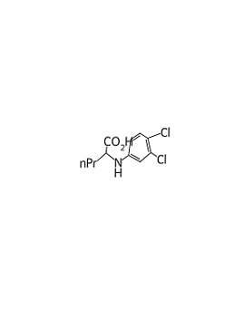 CCCC(Nc1ccc(Cl)c(Cl)c1)C(=O)O